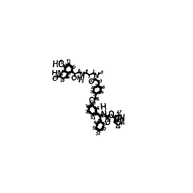 CN(CCCNCC(O)c1ccc(O)c2[nH]c(=O)ccc12)C(=O)Cc1ccc(COc2cccc([C@@H](NC(=O)OC3CN4CCC3CC4)c3ccccc3)c2)cc1